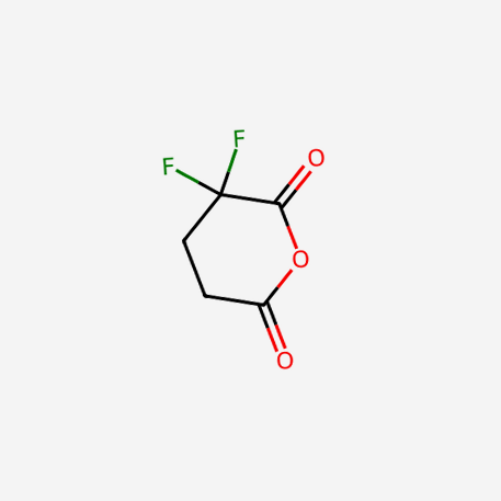 O=C1CCC(F)(F)C(=O)O1